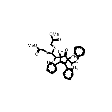 COC(=O)CSC(SCC(=O)OC)C(C)C1(C)C(=O)C(C)(C(C)Sc2ccccc2)C(c2ccccc2)=C1c1ccccc1